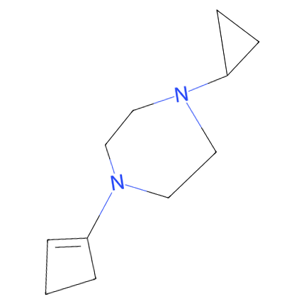 C1=C(N2CCN(C3CC3)CC2)CC1